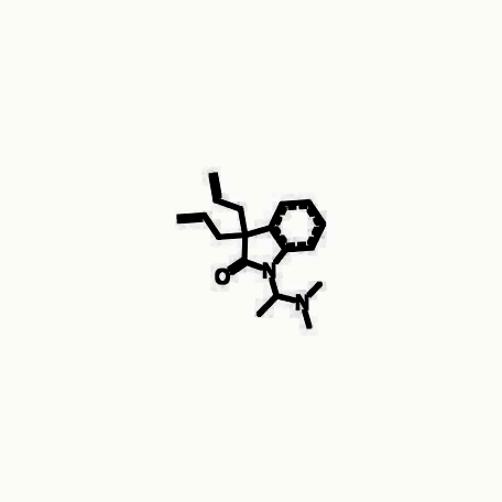 C=CCC1(CC=C)C(=O)N(C(C)N(C)C)c2ccccc21